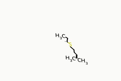 CC[CH]SCCCC=C(C)C